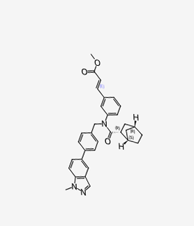 COC(=O)/C=C/c1cccc(N(Cc2ccc(-c3ccc4c(cnn4C)c3)cc2)C(=O)[C@@H]2C[C@@H]3CC[C@H]2C3)c1